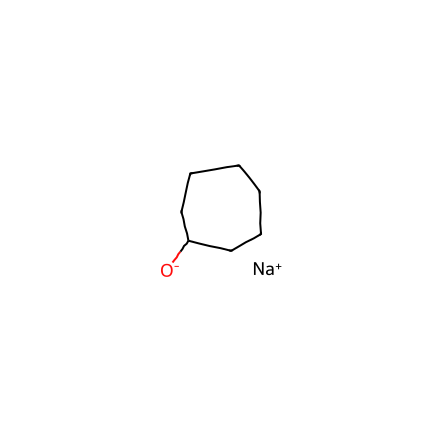 [Na+].[O-]C1CCCCCC1